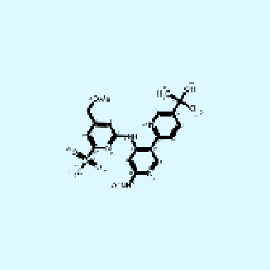 COCc1cc(Nc2cc(NC(C)=O)ncc2-c2ccc(C(C)(C)O)cn2)nc(S(C)(=O)=O)c1